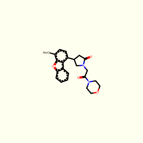 COc1ccc(C2CC(=O)N(CC(=O)N3CCOCC3)C2)c2c1oc1ccccc12